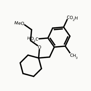 COCCOC1(Cc2c(C)cc(C(=O)O)cc2C(=O)O)CCCCC1